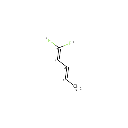 [CH2]C=CC=C(F)F